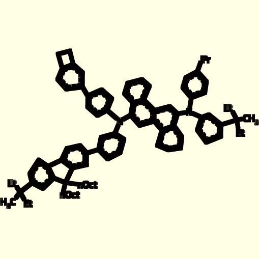 CCCCCCCCC1(CCCCCCCC)c2cc(-c3cccc(N(c4ccc(-c5ccc6c(c5)CC6)cc4)c4cc5c6ccccc6c(N(c6ccc(C(C)C)cc6)c6cccc(C(C)(CC)CC)c6)cc5c5ccccc45)c3)ccc2-c2ccc(C(C)(CC)CC)cc21